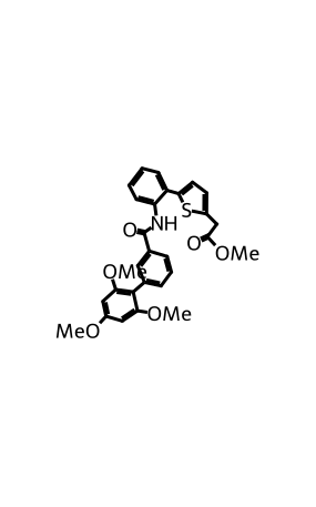 COC(=O)Cc1ccc(-c2ccccc2NC(=O)c2cccc(-c3c(OC)cc(OC)cc3OC)c2)s1